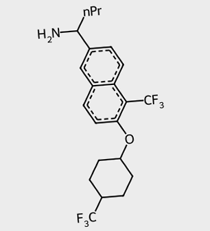 CCCC(N)c1ccc2c(C(F)(F)F)c(OC3CCC(C(F)(F)F)CC3)ccc2c1